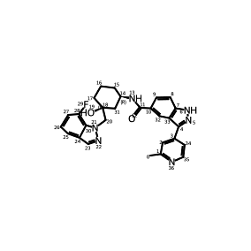 Cc1cc(-c2n[nH]c3ccc(C(=O)N[C@@H]4CCC[C@@](O)(Cn5ncc6cccc(F)c65)C4)cc23)ccn1